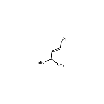 [CH2]CCCC(C)C=CCCC